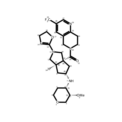 CO[C@@H]1COCC[C@@H]1N[C@@H]1C[C@H]2CN(C3=NCCO3)C[C@@]2(C(=O)N2CCc3ncc(C(F)(F)F)cc3C2)C1